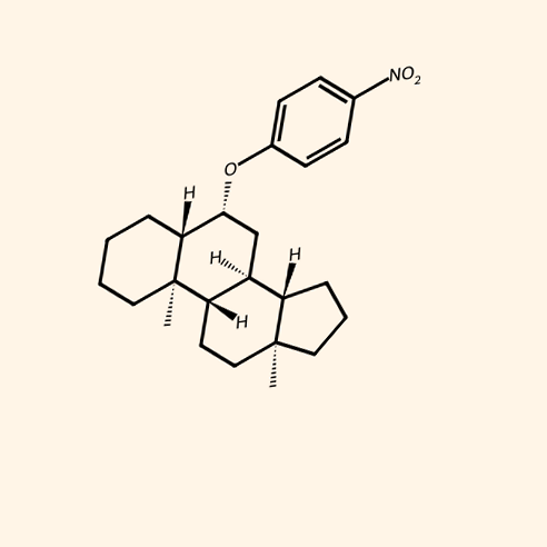 C[C@@]12CCC[C@H]1[C@@H]1C[C@@H](Oc3ccc([N+](=O)[O-])cc3)[C@H]3CCCC[C@]3(C)[C@H]1CC2